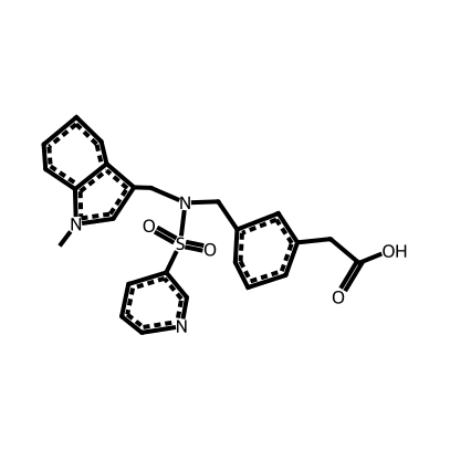 Cn1cc(CN(Cc2cccc(CC(=O)O)c2)S(=O)(=O)c2cccnc2)c2ccccc21